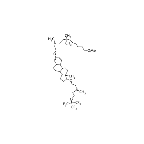 COCCCCCCC(C)(C)CCN(C)CCOc1ccc2c(c1)CCC1C2CCC2(C)C(OCCN(C)CCOC(C(F)(F)F)(C(F)(F)F)C(F)(F)F)CCC12